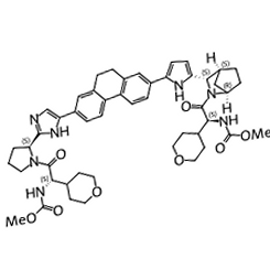 COC(=O)N[C@H](C(=O)N1CCC[C@H]1c1ncc(-c2ccc3c(c2)CCc2cc(-c4ccc([C@@H]5[C@H]6CC[C@H](C6)N5C(=O)[C@@H](NC(=O)OC)C5CCOCC5)[nH]4)ccc2-3)[nH]1)C1CCOCC1